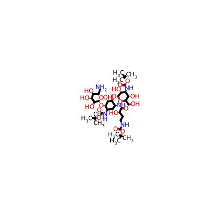 CC(C)(C)OC(=O)NCC[C@H](O)C(=O)N[C@@H]1CC(NC(=O)OC(C)(C)C)[C@@H](O[C@H]2OC(CN)[C@@H](O)[C@H](O)C2O)[C@H](O)C1O[C@H]1OC(CO)[C@@H](O)[C@H](NC(=O)OC(C)(C)C)C1O